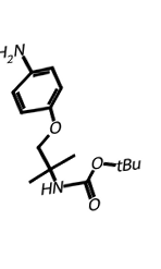 CC(C)(COc1ccc(N)cc1)NC(=O)OC(C)(C)C